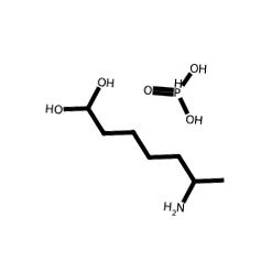 CC(N)CCCCC(O)O.O=[PH](O)O